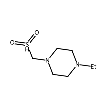 [CH2]CN1CCN(C[SH](=O)=O)CC1